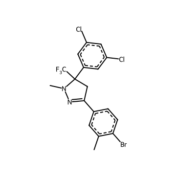 Cc1cc(C2=NN(C)C(c3cc(Cl)cc(Cl)c3)(C(F)(F)F)C2)ccc1Br